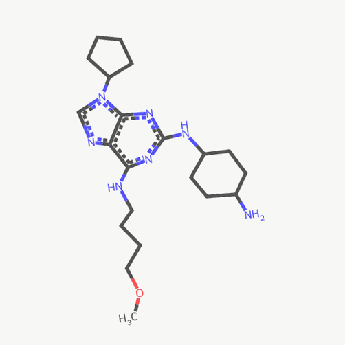 COCCCCNc1nc(NC2CCC(N)CC2)nc2c1ncn2C1CCCC1